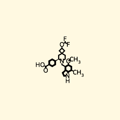 COc1cc(C)c2[nH]ccc2c1CN1CCC2(CC(OC(F)F)C2)C[C@@H]1c1ccc(C(=O)O)cc1